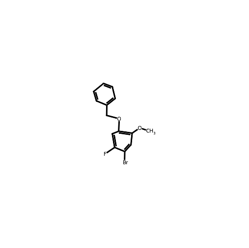 COc1cc(Br)c(F)cc1OCc1ccccc1